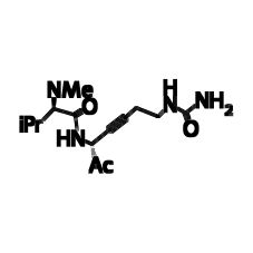 CN[C@@H](C(=O)N[C@H](C#CCCNC(N)=O)C(C)=O)C(C)C